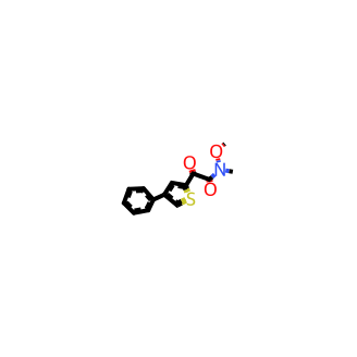 CON(C)C(=O)C(=O)c1cc(-c2ccccc2)cs1